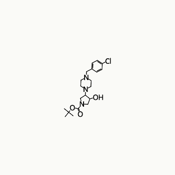 CC(C)(C)OC(=O)N1CC(O)C(N2CCN(Cc3ccc(Cl)cc3)CC2)C1